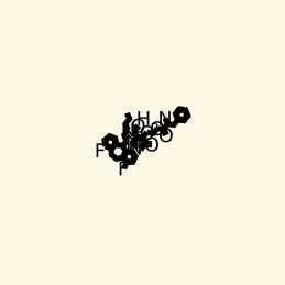 CCCN1CC(C2c3cccc(F)c3CCc3c(F)cccc32)n2ncc(=O)c(OCOC(=O)C(N)Cc3ccccc3)c2C1=O